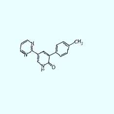 Cc1ccc(-c2cc(-c3ncccn3)c[nH]c2=O)cc1